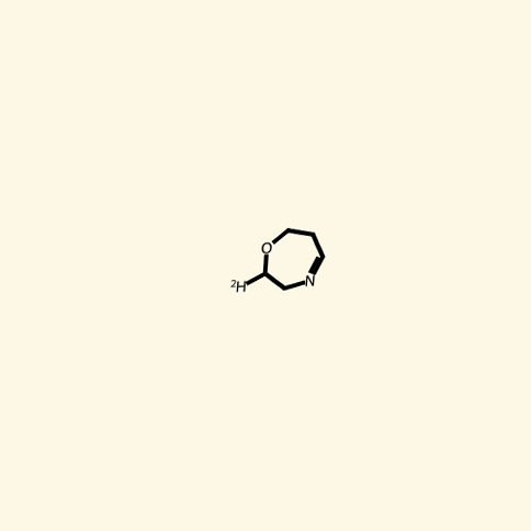 [2H]C1CN=CCCO1